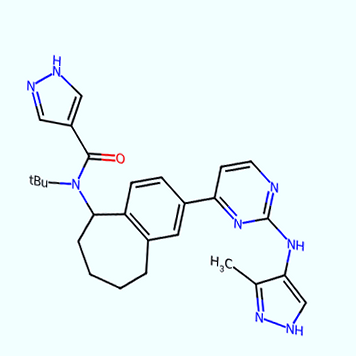 Cc1n[nH]cc1Nc1nccc(-c2ccc3c(c2)CCCCC3N(C(=O)c2cn[nH]c2)C(C)(C)C)n1